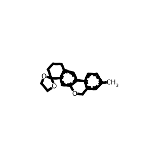 Cc1ccc2c(c1)COc1cc3c(cc1-2)CCCC31OCCO1